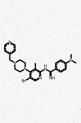 Cc1c(NC(=N)c2ccc(N(C)C)cc2)ncc(Br)c1N1CCN(Cc2ccncc2)CC1